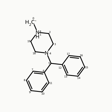 [CH2-][NH+]1CCN(C(c2ccccc2)c2ccccc2)CC1